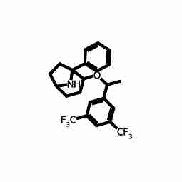 CC(OC1CCC2CCC1(c1ccccc1)N2)c1cc(C(F)(F)F)cc(C(F)(F)F)c1